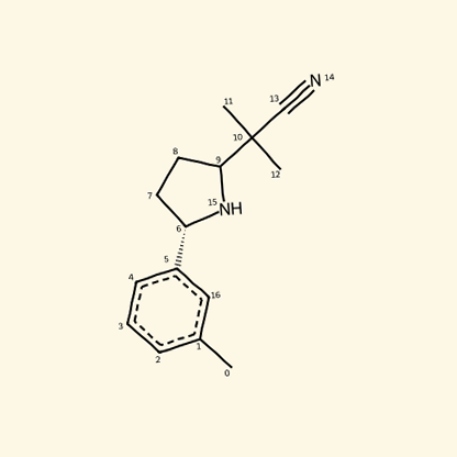 Cc1cccc([C@@H]2CCC(C(C)(C)C#N)N2)c1